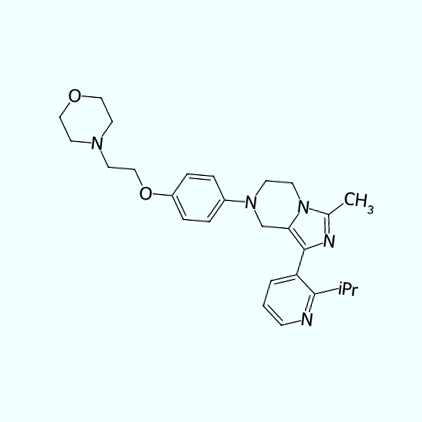 Cc1nc(-c2cccnc2C(C)C)c2n1CCN(c1ccc(OCCN3CCOCC3)cc1)C2